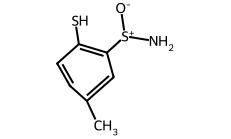 Cc1ccc(S)c([S+](N)[O-])c1